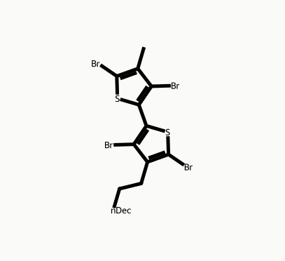 CCCCCCCCCCCCc1c(Br)sc(-c2sc(Br)c(C)c2Br)c1Br